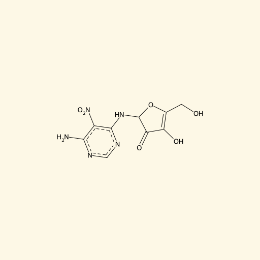 Nc1ncnc(NC2OC(CO)=C(O)C2=O)c1[N+](=O)[O-]